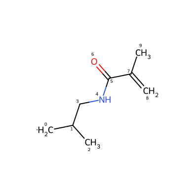 [CH2]C(C)CNC(=O)C(=C)C